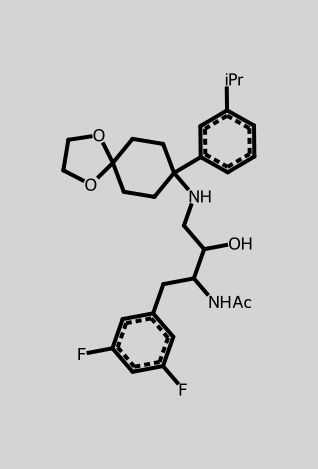 CC(=O)NC(Cc1cc(F)cc(F)c1)C(O)CNC1(c2cccc(C(C)C)c2)CCC2(CC1)OCCO2